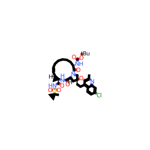 Cc1nc2cc(Cl)ccc2c2c1O[C@]1(CC2)C[C@H]2C(=O)N[C@]3(C(=O)NS(=O)(=O)C4(C)CC4)C[C@H]3/C=C\CCCCC[C@H](NC(=O)OC(C)(C)C)C(=O)N2C1